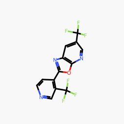 FC(F)(F)c1cnc2oc(-c3ccncc3C(F)(F)F)nc2c1